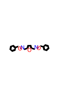 C(=N\OCc1ccccc1)/c1ccc(/C=N/OCc2ccccc2)o1